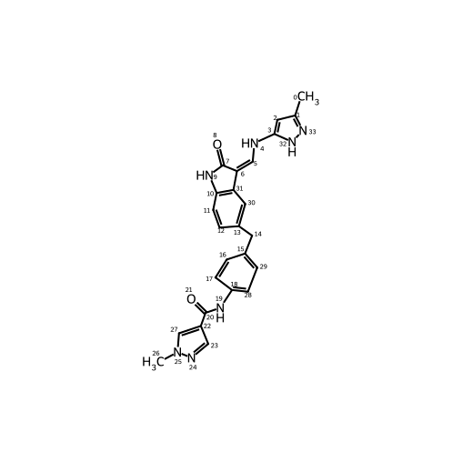 Cc1cc(N/C=C2\C(=O)Nc3ccc(Cc4ccc(NC(=O)c5cnn(C)c5)cc4)cc32)[nH]n1